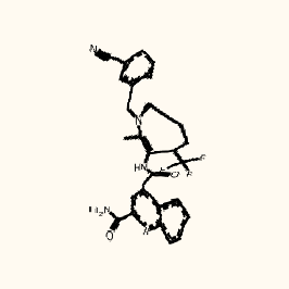 CC1=C(NC(=O)c2cc(C(N)=O)nc3ccccc23)C(C(F)(F)F)CCCN1Cc1cccc(C#N)c1